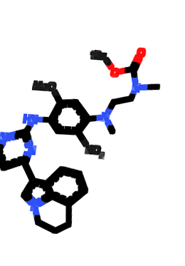 COc1cc(N(C)CCN(C)C(=O)OC(C)(C)C)c([N+](=O)[O-])cc1Nc1nccc(-c2cn3c4c(cccc24)CCC3)n1